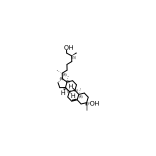 C[C@H](CO)CCC[C@@H](C)[C@H]1CC[C@H]2[C@@H]3CC=C4C[C@](O)(I)CC[C@]4(C)[C@H]3CC[C@]12C